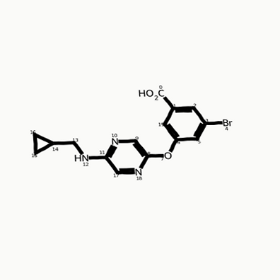 O=C(O)c1cc(Br)cc(Oc2cnc(NCC3CC3)cn2)c1